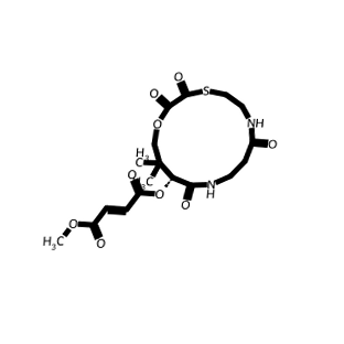 COC(=O)/C=C/C(=O)O[C@H]1C(=O)NCCC(=O)NCCSC(=O)C(=O)OCC1(C)C